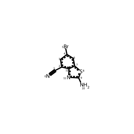 N#Cc1cc(Br)cc2sc(N)nc12